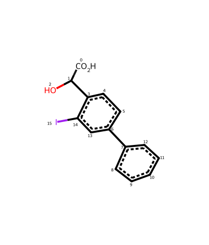 O=C(O)C(O)c1ccc(-c2ccccc2)cc1I